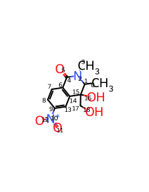 CC1N(C)C(=O)c2ccc([N+](=O)[O-])cc2C1(O)CO